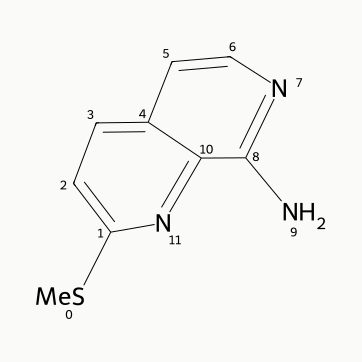 CSc1ccc2ccnc(N)c2n1